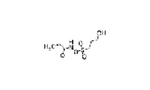 C=CC(=O)NOS(=O)(=O)CCCO